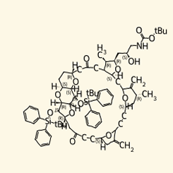 C=C1C[C@@H]2CCC(=O)C[C@H]3O[C@H]4[C@@H](O[Si](c5ccccc5)(c5ccccc5)C(C)(C)C)[C@H]5O[C@H](CC[C@@H]5O[C@H]4[C@H]3O[Si](c3ccccc3)(c3ccccc3)C(C)(C)C)CC(=O)CC3[C@H](CC4O[C@@H](CCC1O2)C[C@@H](C)C4=C)O[C@H](C[C@H](O)CNC(=O)OC(C)(C)C)[C@@H]3C